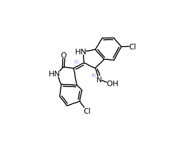 O=C1Nc2ccc(Cl)cc2/C1=C1/Nc2ccc(Cl)cc2/C1=N\O